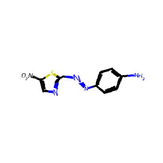 Nc1ccc(/N=N/c2ncc([N+](=O)[O-])s2)cc1